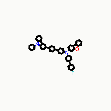 Fc1ccc(-c2ccc(N(c3ccc(-c4ccc(-c5ccc6c(c5)c5ccccc5n6-c5ccccc5)cc4)cc3)c3ccc4c(c3)oc3ccccc34)cc2)cc1